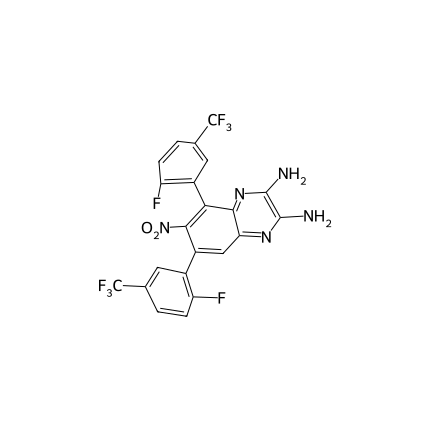 Nc1nc2cc(-c3cc(C(F)(F)F)ccc3F)c([N+](=O)[O-])c(-c3cc(C(F)(F)F)ccc3F)c2nc1N